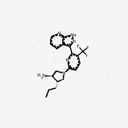 CCC[C@H]1CN(c2ccc(C(F)(F)F)c(-c3n[nH]c4ncccc34)n2)C[C@@H]1N